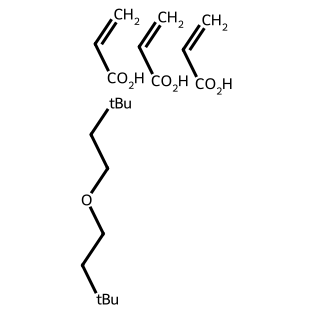 C=CC(=O)O.C=CC(=O)O.C=CC(=O)O.CC(C)(C)CCOCCC(C)(C)C